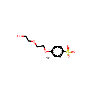 O=S(=O)([O-])c1ccc(OCCOCCO)cc1.[Na+]